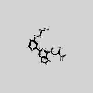 CNC(=O)CN(C)c1nc(-c2cc(OCCO)ccn2)nc2c1CCC2